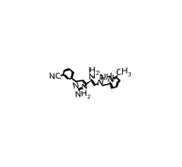 Cc1cccc(CN(N)/C=C(\N)c2cc(-c3cccc(C#N)c3)nc(N)n2)n1